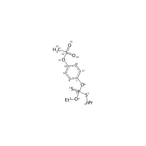 CCCSP(=S)(OCC)Oc1ccc(OS(C)(=O)=O)cc1